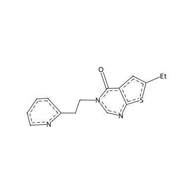 CCc1cc2c(=O)n(CCc3ccccn3)cnc2s1